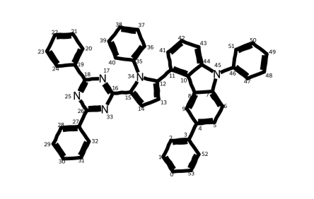 c1ccc(-c2ccc3c(c2)c2c(-c4ccc(-c5nc(-c6ccccc6)nc(-c6ccccc6)n5)n4-c4ccccc4)cccc2n3-c2ccccc2)cc1